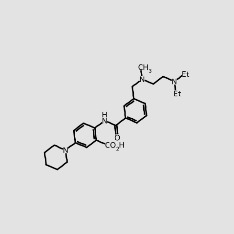 CCN(CC)CCN(C)Cc1cccc(C(=O)Nc2ccc(N3CCCCC3)cc2C(=O)O)c1